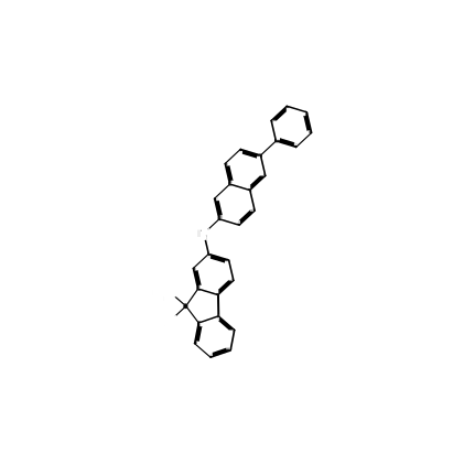 CC1(C)c2ccccc2-c2ccc(Nc3ccc4cc(-c5ccccc5)ccc4c3)cc21